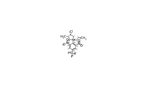 CCC[N+](CCC)(CCCl)c1c([N+](=O)[O-])cc(C(F)(F)F)cc1[N+](=O)[O-]